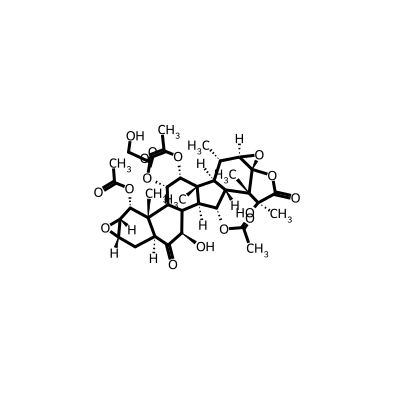 CC(=O)O[C@H]1[C@@H]2[C@H]([C@H](C)[C@H]3O[C@]34OC(=O)[C@@](C)(O)[C@]24C)[C@]2(C)[C@@H]1C1C([C@H](OC(=O)CO)[C@@H]2OC(C)=O)[C@]2(C)[C@H](C[C@@H]3O[C@@H]3[C@@H]2OC(C)=O)C(=O)[C@@H]1O